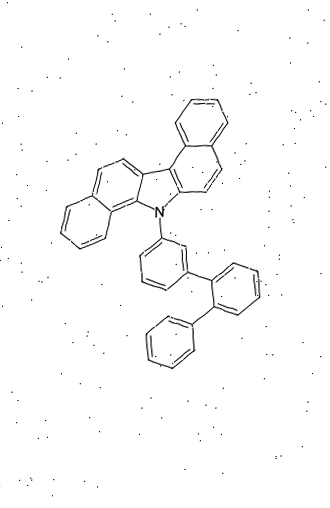 c1ccc(-c2ccccc2-c2cccc(-n3c4ccc5ccccc5c4c4ccc5ccccc5c43)c2)cc1